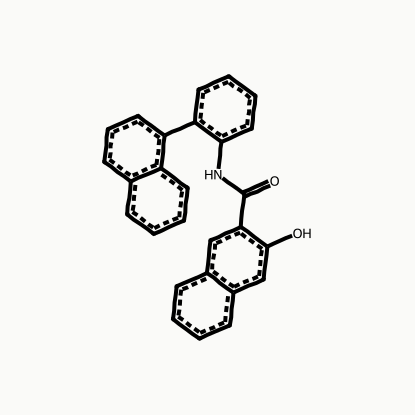 O=C(Nc1ccccc1-c1cccc2ccccc12)c1cc2ccccc2cc1O